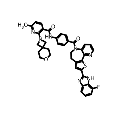 Cc1ccc(C(=O)Nc2ccc(C(=O)N3CCc4cc(-c5nc6cccc(F)c6[nH]5)sc4-c4ncccc43)cc2)c(N2CC3(CCOCC3)C2)n1